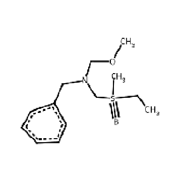 B#S(C)(CC)CN(COC)Cc1ccccc1